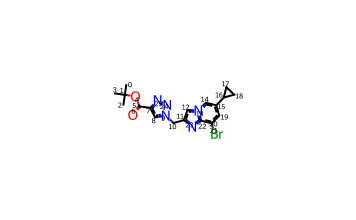 CC(C)(C)OC(=O)c1cn(Cc2cn3cc(C4CC4)cc(Br)c3n2)nn1